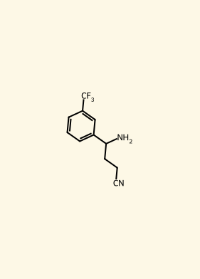 N#CCCC(N)c1cccc(C(F)(F)F)c1